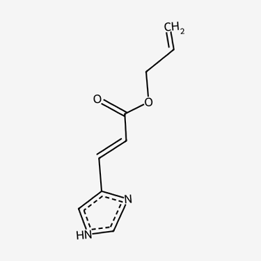 C=CCOC(=O)C=Cc1c[nH]cn1